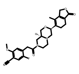 COc1cc(CC(=O)N2CCN3C[C@H](C4=C(C)C5=C(CC4)C(=O)OC5)OC[C@@H]3C2)c(F)cc1C#N